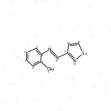 Oc1ccccc1N=Nc1ccsn1